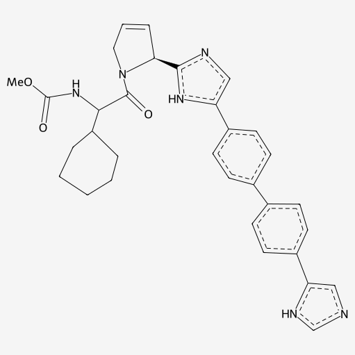 COC(=O)NC(C(=O)N1CC=C[C@H]1c1ncc(-c2ccc(-c3ccc(-c4cnc[nH]4)cc3)cc2)[nH]1)C1CCCCC1